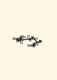 CC(CCN(CCCCNC(=O)OCC(=O)NCCCCCCNC(=NC(=O)OC(C)(C)C)NC(=O)OC(C)(C)C)Cc1ccccc1)NC(=O)OC(C)(C)C